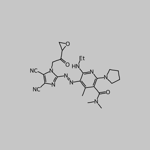 CCNc1nc(N2CCCC2)c(C(=O)N(C)C)c(C)c1N=Nc1nc(C#N)c(C#N)n1CC(=O)C1CO1